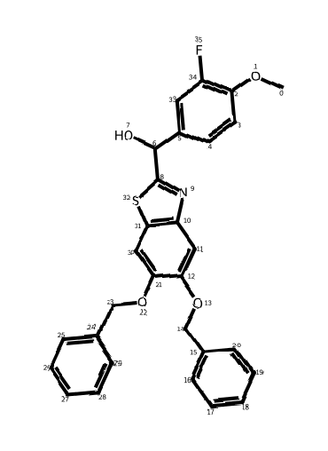 COc1ccc(C(O)c2nc3cc(OCc4ccccc4)c(OCc4ccccc4)cc3s2)cc1F